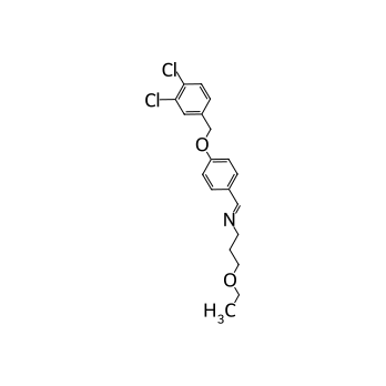 CCOCCCN=Cc1ccc(OCc2ccc(Cl)c(Cl)c2)cc1